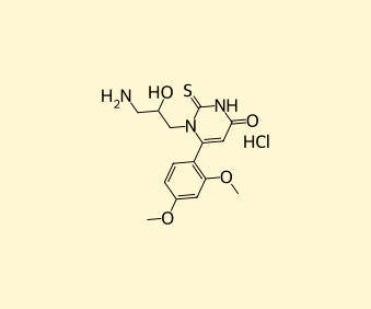 COc1ccc(-c2cc(=O)[nH]c(=S)n2CC(O)CN)c(OC)c1.Cl